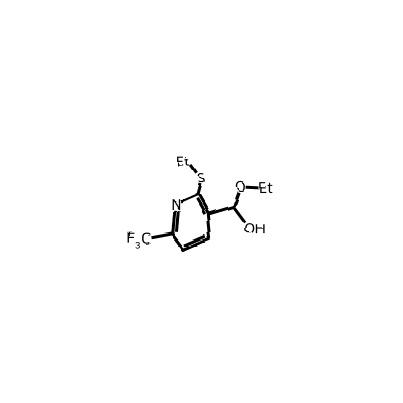 CCOC(O)c1ccc(C(F)(F)F)nc1SCC